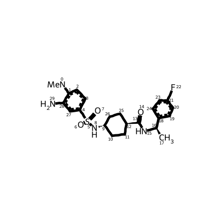 CNc1ccc(S(=O)(=O)N[C@H]2CC[C@H](C(=O)N[C@H](C)c3ccc(F)cc3)CC2)cc1N